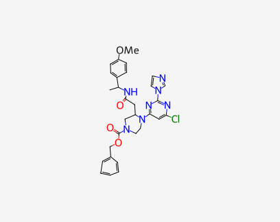 COc1ccc(C(C)NC(=O)CC2CN(C(=O)OCc3ccccc3)CCN2c2cc(Cl)nc(-n3ccnc3)n2)cc1